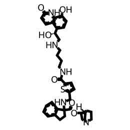 O=C(NCCCCNC[C@H](O)c1ccc(O)c2[nH]c(=O)ccc12)c1ccc(CNC2(C(=O)O[C@H]3CN4CCC3CC4)CCc3ccccc32)s1